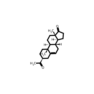 CC(=O)[C@H]1CC[C@@]2(C)C(=CC[C@@H]3[C@@H]2CC[C@]2(C)C(=O)CC[C@@H]32)C1